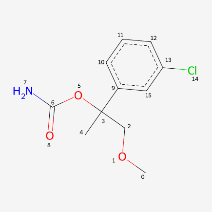 COCC(C)(OC(N)=O)c1cccc(Cl)c1